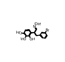 ON=CC(Cc1cccc(Br)c1)c1ccc(O)c(O)c1O